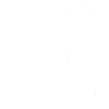 CC(C)(C)c1ccc(-c2ccc3c4ccc(-c5ccc(C(C)(C)C)cc5)cc4c4nc(-c5cccc(-c6cccc(-c7cccc8c7oc7ccc9ccccc9c78)c6)c5)cnc4c3c2)cc1